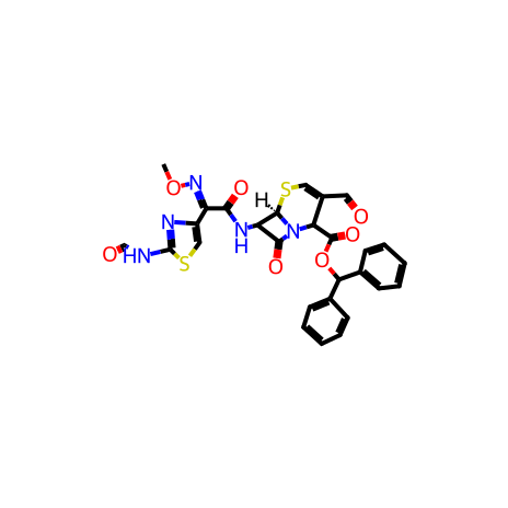 CO/N=C(/C(=O)NC1C(=O)N2C(C(=O)OC(c3ccccc3)c3ccccc3)C(C=O)=CS[C@H]12)c1csc(NC=O)n1